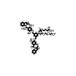 COCCOCCOCCN(CC(C)(C)SCCCC(=O)O)c1cc(COc2cc3c(cc2OC)C(=O)N2c4ccccc4C[C@H]2C=N3)cc(COc2cc3c(cc2OC)C(O)N2c4ccccc4C[C@H]2CN3)c1